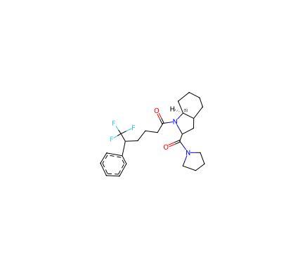 O=C(C1CC2CCCC[C@@H]2N1C(=O)CCCC(c1ccccc1)C(F)(F)F)N1CCCC1